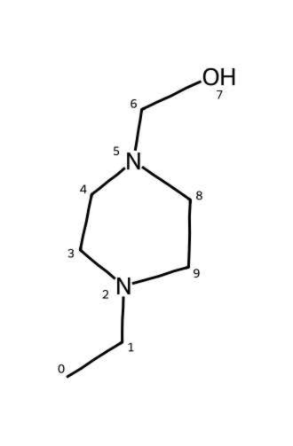 CCN1CCN(CO)CC1